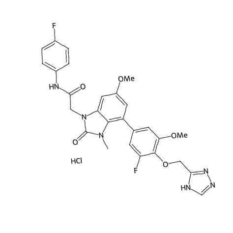 COc1cc(-c2cc(F)c(OCc3nnc[nH]3)c(OC)c2)c2c(c1)n(CC(=O)Nc1ccc(F)cc1)c(=O)n2C.Cl